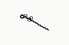 CCCCCCCCCCCCCCCC(=O)OCCOc1ccccc1